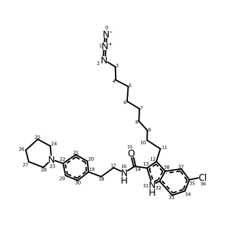 [N-]=[N+]=NCCCCCCCCCc1c(C(=O)NCCc2ccc(N3CCCCC3)cc2)[nH]c2ccc(Cl)cc12